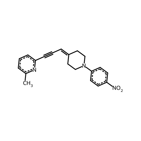 Cc1cccc(C#CC=C2CCN(c3ccc([N+](=O)[O-])cc3)CC2)n1